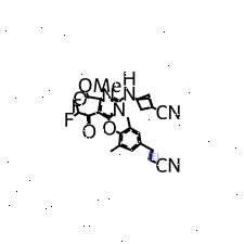 COC(=O)c1nc(NC23CC(C#N)(C2)C3)nc(Oc2c(C)cc(/C=C/C#N)cc2C)c1C(=O)C(F)F